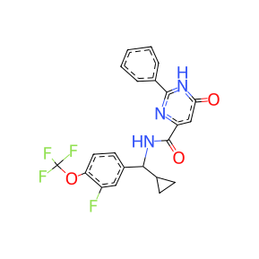 O=C(NC(c1ccc(OC(F)(F)F)c(F)c1)C1CC1)c1cc(=O)[nH]c(-c2ccccc2)n1